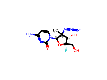 C[C@]1(N=[N+]=[N-])[C@H](n2ccc(N)nc2=O)O[C@](F)(CO)[C@H]1O